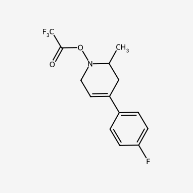 CC1CC(c2ccc(F)cc2)=CCN1OC(=O)C(F)(F)F